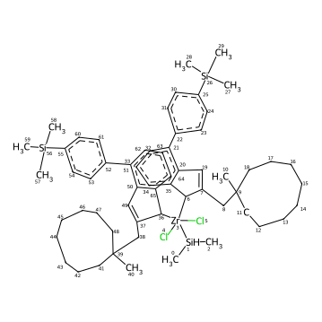 C[SiH](C)[Zr]([Cl])([Cl])([CH]1C(CC2(C)CCCCCCCC2)=Cc2c(-c3ccc([Si](C)(C)C)cc3)cccc21)[CH]1C(CC2(C)CCCCCCCC2)=Cc2c(-c3ccc([Si](C)(C)C)cc3)cccc21